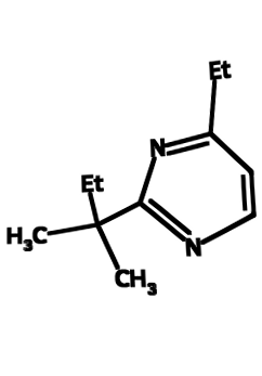 CCc1ccnc(C(C)(C)CC)n1